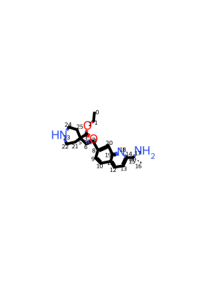 CCOC(=O)C1(/C=C/c2ccc3ccc([C@@H](C)N)nc3c2)CCNCC1